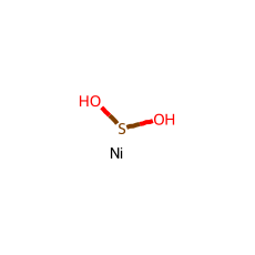 OSO.[Ni]